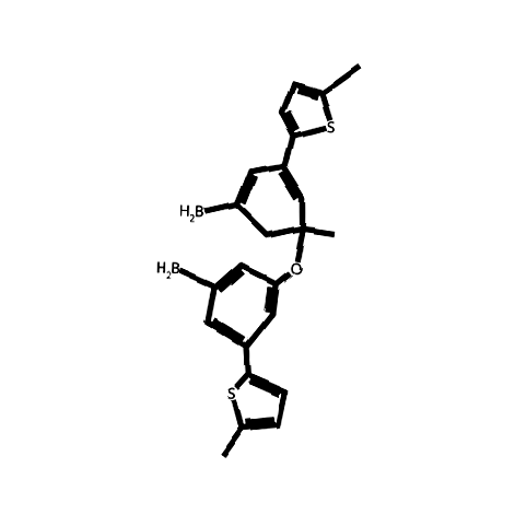 BC1=CC(c2ccc(C)s2)=CC(C)(Oc2cc(B)cc(-c3ccc(C)s3)c2)C1